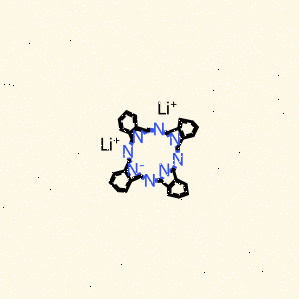 [Li+].[Li+].c1ccc2c(c1)-c1nc3nc(nc4[n-]c(nc5[n-]c(nc-2n1)c1ccccc51)c1ccccc41)-c1ccccc1-3